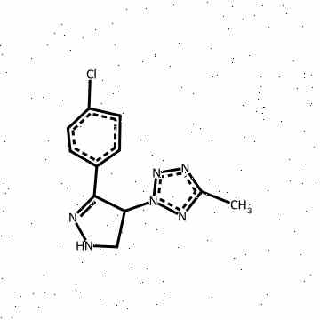 Cc1nnn(C2CNN=C2c2ccc(Cl)cc2)n1